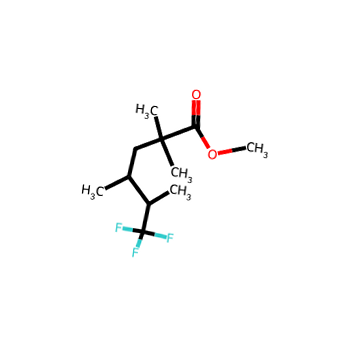 COC(=O)C(C)(C)CC(C)C(C)C(F)(F)F